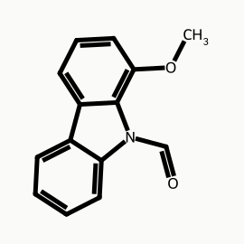 COc1cccc2c3ccccc3n(C=O)c12